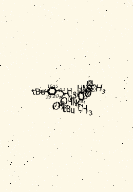 C[C@@H](NC(=S)NCC(COC(=O)C(C)(C)C)Cc1ccc(C(C)(C)C)cc1)c1ccc(NS(C)(=O)=O)cc1